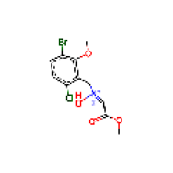 COC(=O)/C=[N+](\O)Cc1c(Cl)ccc(Br)c1OC